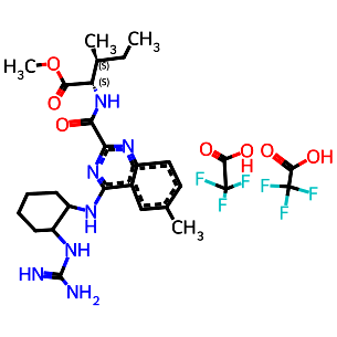 CC[C@H](C)[C@H](NC(=O)c1nc(NC2CCCCC2NC(=N)N)c2cc(C)ccc2n1)C(=O)OC.O=C(O)C(F)(F)F.O=C(O)C(F)(F)F